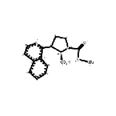 CC(C)(C)OC(=O)N1CCC(c2nccc3ccccc23)[C@@H]1C(=O)O